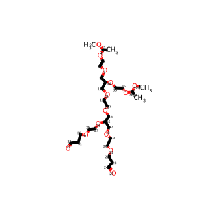 COC(C)OCCOCC(COCCOCC(COCCOCCC=O)OCCOCCC=O)OCCOC(C)OC